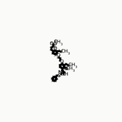 CCCc1c(OCCCOc2ccc(-c3c[nH]c(SCc4ccccc4)n3)c(OC)c2CCC)ccc2c1OC(C(=O)OC)CC2